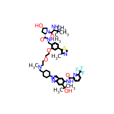 Cc1ncsc1-c1ccc(CNC(=O)[C@@H]2C[C@@H](O)CN2C(=O)[C@@H](N)C(C)(C)C)c(OCCOCCN(C)CC2CCC(n3cc4cc(NC(=O)c5cccc(C(F)(F)F)n5)c(C(C)(C)O)cc4n3)CC2)c1